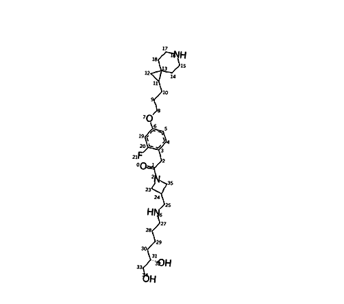 O=C(Cc1ccc(OCCCC2CC23CCNCC3)cc1F)N1CC(CNCCCC[C@H](O)CO)C1